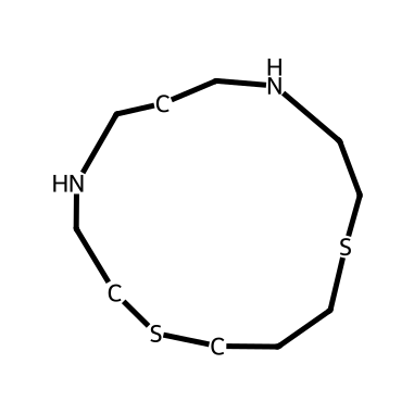 C1CNCCSCCCSCCNC1